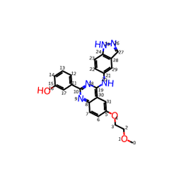 COCCOc1ccc2nc(-c3cccc(O)c3)nc(Nc3ccc4[nH]ncc4c3)c2c1